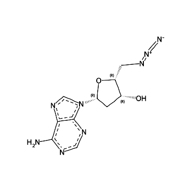 [N-]=[N+]=NC[C@H]1O[C@@H](n2cnc3c(N)ncnc32)C[C@H]1O